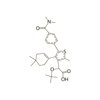 Cc1sc(-c2ccc(C(=O)N(C)C)cc2)c(C2=CCC(C)(C)CC2)c1C(OC(C)(C)C)C(=O)O